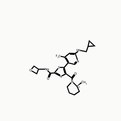 C[C@H]1CCCCN1C(=O)c1nc(C(=O)NC2COC2)sc1-c1cnc(NCC2CC2)cc1C(F)(F)F